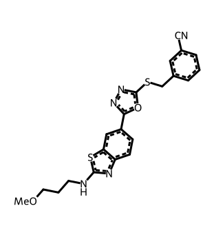 COCCCNc1nc2ccc(-c3nnc(SCc4cccc(C#N)c4)o3)cc2s1